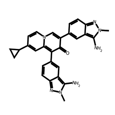 Cn1nc2ccc(-c3cn4ccc(C5CC5)cc4c(-c4ccc5nn(C)c(N)c5c4)c3=O)cc2c1N